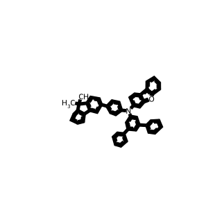 CC1(C)c2ccccc2-c2cc(-c3ccc(N(c4cc(-c5ccccc5)cc(-c5ccccc5)c4)c4ccc5c(c4)oc4ccccc45)cc3)ccc21